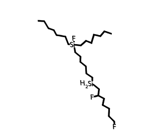 CCCCCCC[Si](F)(CCCCCCC)CCCCCC[SiH2]CC(F)CCCCCF